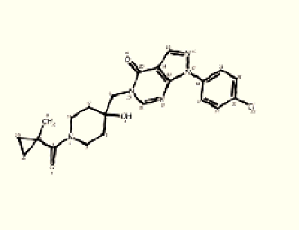 CC1(C(=O)N2CCC(O)(Cn3cnc4c(cnn4-c4ccc(Cl)cc4)c3=O)CC2)CC1